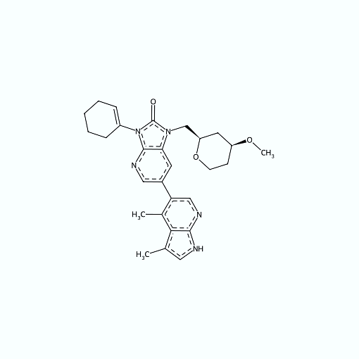 CO[C@H]1CCO[C@@H](Cn2c(=O)n(C3=CCCCC3)c3ncc(-c4cnc5[nH]cc(C)c5c4C)cc32)C1